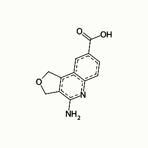 Nc1nc2ccc(C(=O)O)cc2c2c1COC2